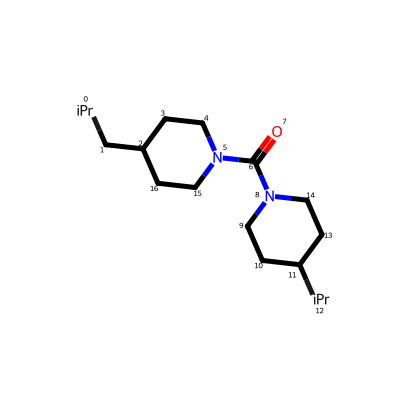 CC(C)CC1CCN(C(=O)N2CCC(C(C)C)CC2)CC1